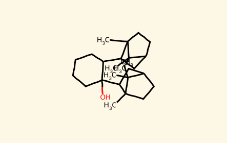 CC1(C)C2CCC1(C)C(C1CCCCC1(O)C1CC3CCC1(C)C3(C)C)C2